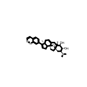 CN(C)[C@H]1C[C@@]23CC[C@@]4(O2)C(=CC[C@]2(C)C(c5ccc6ccnnc6c5)=CCC24)CC3(F)[C@@H](O)[C@@H]1O